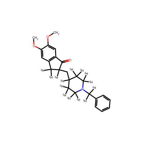 [2H]C([2H])(c1ccccc1)N1C([2H])([2H])C([2H])([2H])C([2H])(CC2([2H])C(=O)c3cc(OC)c(OC)cc3C2([2H])[2H])C([2H])([2H])C1([2H])[2H]